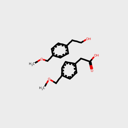 COCc1ccc(CC(=O)O)cc1.COCc1ccc(CCO)cc1